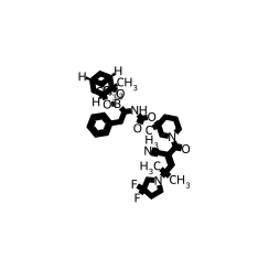 CC1(OC(=O)NC(Cc2ccccc2)B2O[C@@H]3C[C@@H]4C[C@@H](C4(C)C)[C@]3(C)O2)CCCN(C(=O)C(C#N)=CC(C)(C)N2CCC(F)(F)C2)C1